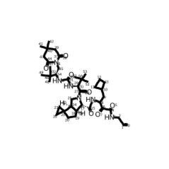 C=CCNC(=O)C(=O)C(CC1CCC1)NC(=O)[C@@H]1[C@H]2CCC3(CC3)[C@H]2CN1C(=O)[C@@H](NC(=O)N[C@H](CN1C(=O)CC(C)(C)CC1=O)C(C)(C)C)C(C)(C)C